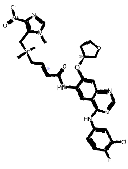 Cn1cnc([N+](=O)[O-])c1C[N+](C)(C)C/C=C/C(=O)Nc1cc2c(Nc3ccc(F)c(Cl)c3)ncnc2cc1O[C@H]1CCOC1